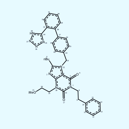 CCCCc1nc2c(c(=O)n(CCc3ccccc3)c(=O)n2CCOC)n1Cc1ccc(-c2ccccc2-c2nnn[nH]2)cc1